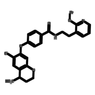 CC(C)Oc1ncccc1CCNC(=O)c1ccc(Oc2cc3c(cc2Cl)C(C(=O)O)CCO3)cc1